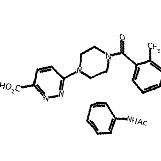 CC(=O)Nc1ccccc1.O=C(O)c1ccc(N2CCN(C(=O)c3ccccc3C(F)(F)F)CC2)nn1